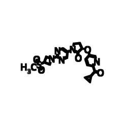 CS(=O)(=O)C1CN(c2ncc(N3CC[C@@H](Oc4ccc(C(=O)C5CC5)nc4)C3=O)cn2)C1